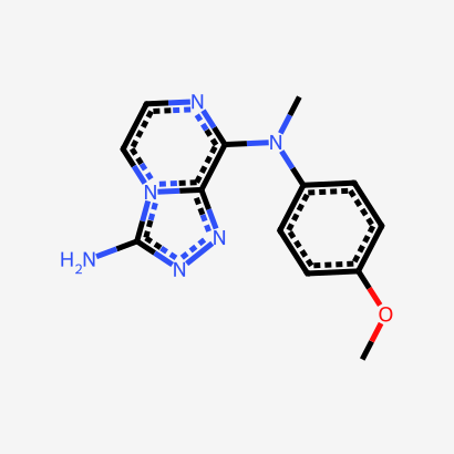 COc1ccc(N(C)c2nccn3c(N)nnc23)cc1